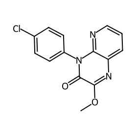 COc1nc2cccnc2n(-c2ccc(Cl)cc2)c1=O